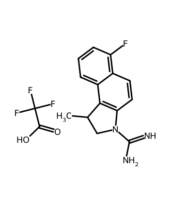 CC1CN(C(=N)N)c2ccc3c(F)cccc3c21.O=C(O)C(F)(F)F